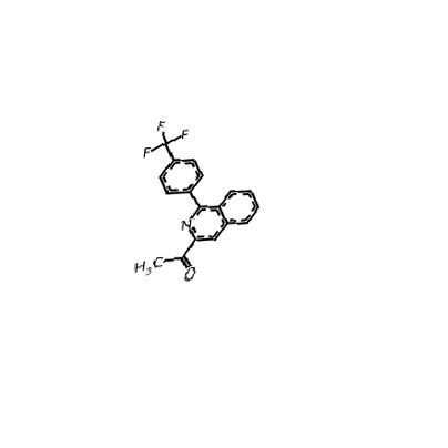 CC(=O)c1cc2ccccc2c(-c2ccc(C(F)(F)F)cc2)n1